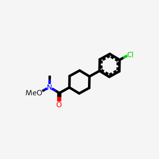 CON(C)C(=O)C1CCC(c2ccc(Cl)cc2)CC1